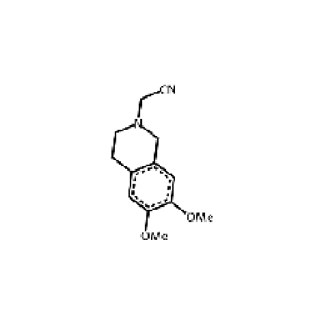 COc1cc2c(cc1OC)CN(CC#N)CC2